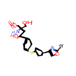 CC(C)c1nc(-c2ccc(Sc3ccc(C(O)CC(N)(CO)CO)cc3)cc2)co1